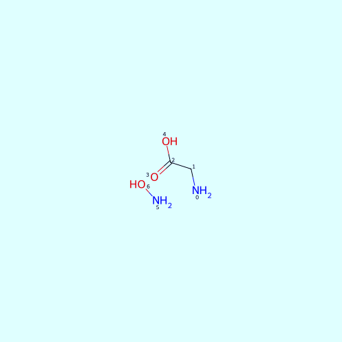 NCC(=O)O.NO